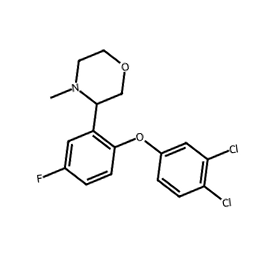 CN1CCOCC1c1cc(F)ccc1Oc1ccc(Cl)c(Cl)c1